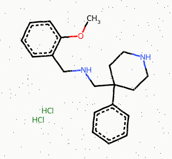 COc1ccccc1CNCC1(c2ccccc2)CCNCC1.Cl.Cl